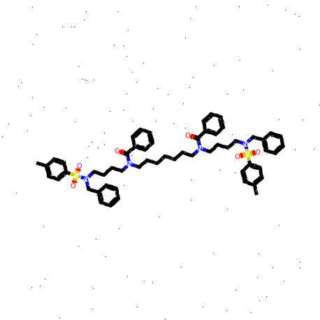 Cc1ccc(S(=O)(=O)N(CCCCN(CCCCCCCN(CCCCN(Cc2ccccc2)S(=O)(=O)c2ccc(C)cc2)C(=O)c2ccccc2)C(=O)c2ccccc2)Cc2ccccc2)cc1